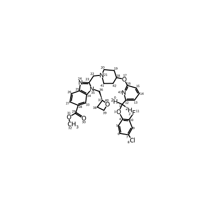 [2H]C([2H])(Oc1ccc(Cl)cc1F)c1cccc(OC2CCN(Cc3nc4ccc(C(=O)OC)cc4n3C[C@@H]3CCO3)CC2)n1